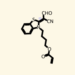 C=CC(=O)OCCCCN1/C(=C(\C#N)C=O)Sc2ccccc21